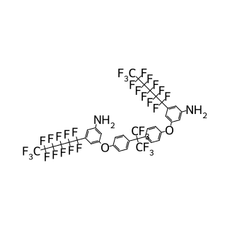 Nc1cc(Oc2ccc(C(c3ccc(Oc4cc(N)cc(C(F)(F)C(F)(F)C(F)(F)C(F)(F)C(F)(F)C(F)(F)F)c4)cc3)(C(F)(F)F)C(F)(F)F)cc2)cc(C(F)(F)C(F)(F)C(F)(F)C(F)(F)C(F)(F)C(F)(F)F)c1